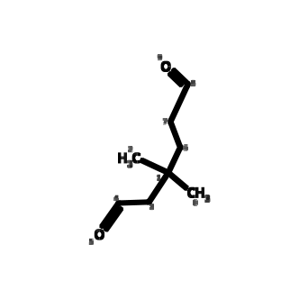 CC(C)(CC=O)CCC=O